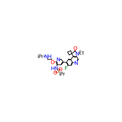 CCN1C(=O)C2(CCC2)c2c1cnc1cc(F)c(-c3cnc(OCCNC(C)C)c(NS(=O)(=O)C(C)C)c3)cc21